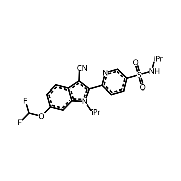 CC(C)NS(=O)(=O)c1ccc(-c2c(C#N)c3ccc(OC(F)F)cc3n2C(C)C)nc1